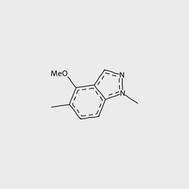 COc1c(C)ccc2c1cnn2C